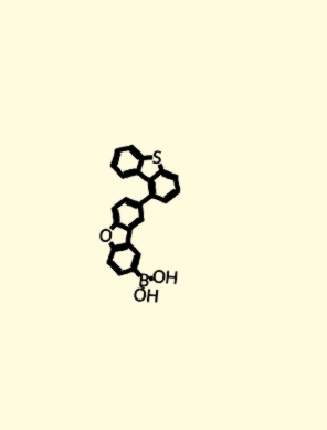 OB(O)c1ccc2oc3ccc(-c4cccc5sc6ccccc6c45)cc3c2c1